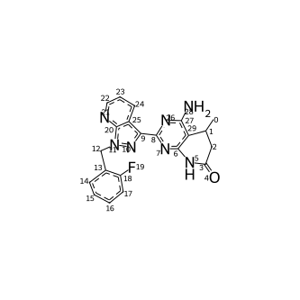 CC1CC(=O)Nc2nc(-c3nn(Cc4ccccc4F)c4ncccc34)nc(N)c21